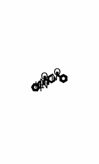 O=C(c1ccccc1)N1CCC2(CC1)CNN(Cc1ccccc1F)C2=O